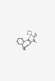 CN1C(=O)C2(CCC2)c2c1cnc1ccccc21